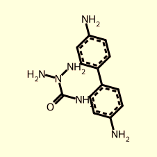 NC(=O)N(N)N.Nc1ccc(-c2ccc(N)cc2)cc1